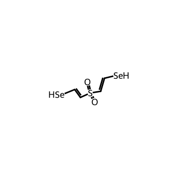 O=S(=O)(/C=C/[SeH])/C=C/[SeH]